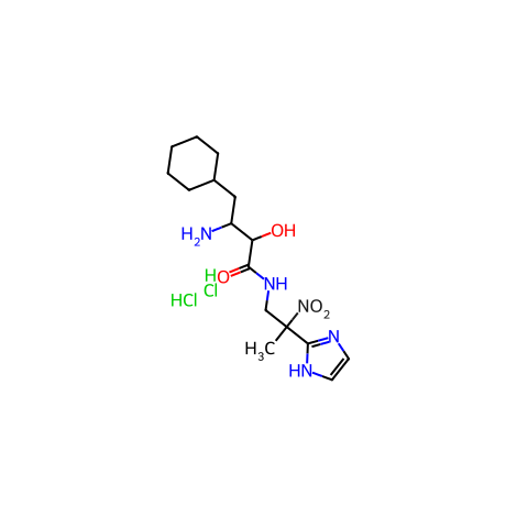 CC(CNC(=O)C(O)C(N)CC1CCCCC1)(c1ncc[nH]1)[N+](=O)[O-].Cl.Cl